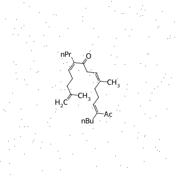 C=C(C)CCC=C(CCC)C(=O)CC=C(C)CCC=C(CCCC)C(C)=O